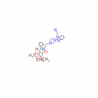 COc1cc(C(=O)N(C)CC(CCN2CCCN(c3nc4ccccc4n3CCC#N)CC2)c2ccccc2)cc(OC)c1OC